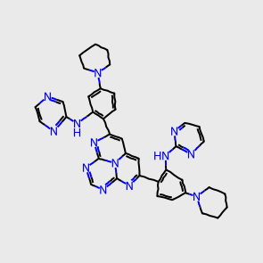 C1=NC2=NC(c3ccc(N4CCCCC4)cc3Nc3cnccn3)=CC3=CC(c4ccc(N5CCCCC5)cc4Nc4ncccn4)=NC(=N1)N32